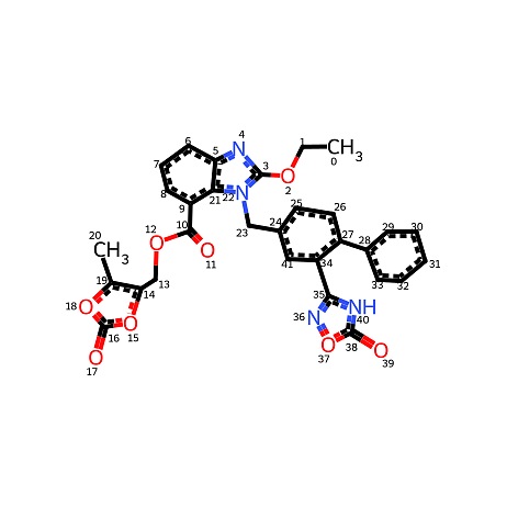 CCOc1nc2cccc(C(=O)OCc3oc(=O)oc3C)c2n1Cc1ccc(-c2ccccc2)c(-c2noc(=O)[nH]2)c1